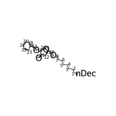 CCCCCCCCCCCCCCCCCCOCc1cc(=O)c(OCc2ccccc2)co1